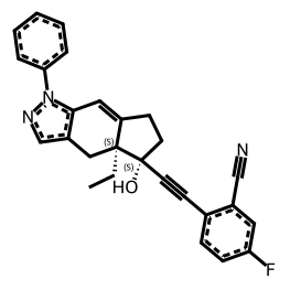 CC[C@]12Cc3cnn(-c4ccccc4)c3C=C1CC[C@@]2(O)C#Cc1ccc(F)cc1C#N